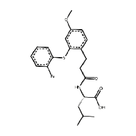 COc1ccc(CCC(=O)N[C@@H](CC(C)C)C(=O)O)c(Sc2ccccc2Br)c1